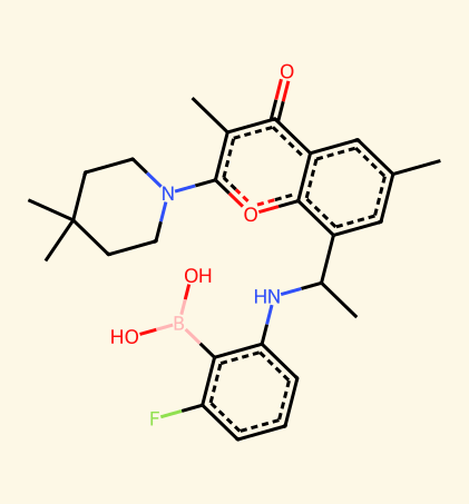 Cc1cc(C(C)Nc2cccc(F)c2B(O)O)c2oc(N3CCC(C)(C)CC3)c(C)c(=O)c2c1